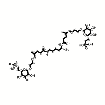 C/C(CCC(=O)N[C@@H](CCCCNC(=O)CC/C(C)=N/OCCO[C@H]1O[C@H](COP(=O)(O)O)[C@@H](O)[C@H](O)[C@@H]1O)C(C)(C)C)=N/OCCO[C@H]1O[C@H](CCP(=O)(O)O)[C@@H](O)[C@H](O)[C@@H]1O